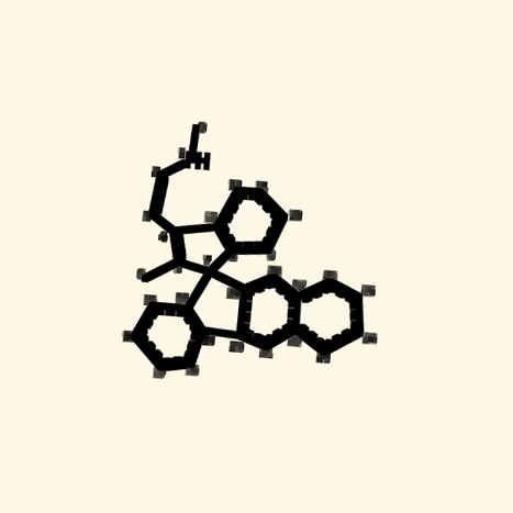 CP/C=C\C1=C(C)C2(c3ccccc31)c1ccccc1-c1cc3ccccc3cc12